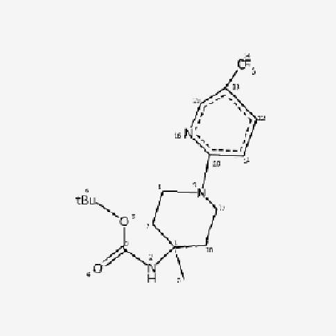 CC1(NC(=O)OC(C)(C)C)CCN(c2ccc(C(F)(F)F)cn2)CC1